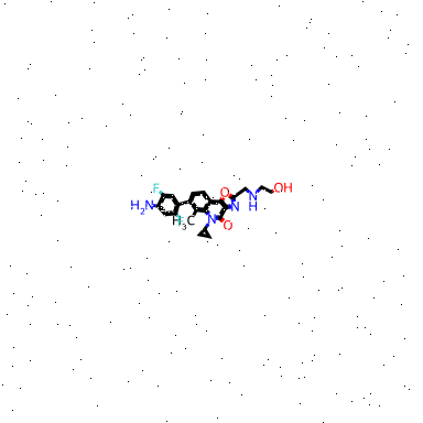 Cc1c(-c2cc(F)c(N)cc2F)ccc2c3oc(CNCCO)nc3c(=O)n(C3CC3)c12